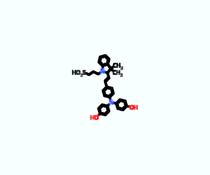 CC1(C)c2ccccc2N(CCCS(=O)(=O)O)C1C=Cc1ccc(N(c2ccc(O)cc2)c2ccc(O)cc2)cc1